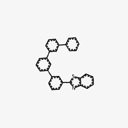 c1ccc(-c2cccc(-c3cccc(-c4cccc(-c5nc6ccccc6s5)c4)c3)c2)cc1